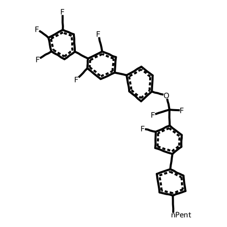 CCCCCc1ccc(-c2ccc(C(F)(F)Oc3ccc(-c4cc(F)c(-c5cc(F)c(F)c(F)c5)c(F)c4)cc3)c(F)c2)cc1